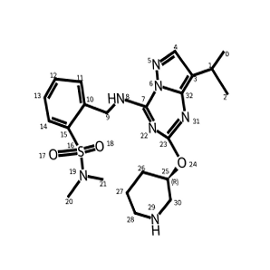 CC(C)c1cnn2c(NCc3ccccc3S(=O)(=O)N(C)C)nc(O[C@@H]3CCCNC3)nc12